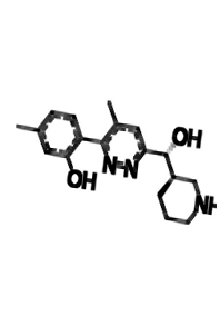 Cc1ccc(-c2nnc([C@H](O)[C@@H]3CCCNC3)cc2C)c(O)c1